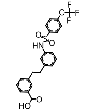 O=C(O)c1cccc(CCc2cccc(NS(=O)(=O)c3ccc(OC(F)(F)F)cc3)c2)c1